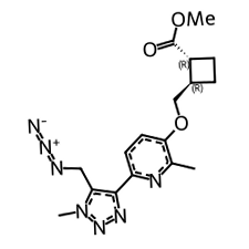 COC(=O)[C@@H]1CC[C@H]1COc1ccc(-c2nnn(C)c2CN=[N+]=[N-])nc1C